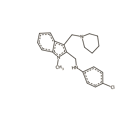 Cn1c(CNc2ccc(Cl)cc2)c(CN2CCCCC2)c2ccccc21